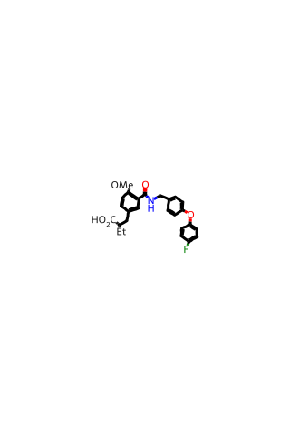 CCC(Cc1ccc(OC)c(C(=O)NCc2ccc(Oc3ccc(F)cc3)cc2)c1)C(=O)O